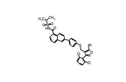 CC(C)c1onc(-c2c(Cl)cccc2Cl)c1COc1ccc(-c2ccc3c(C(=O)NS(=O)(=O)N(C)C)cccc3c2)cc1